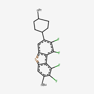 CCCCc1cc2sc3cc(C4CCC(CCC)CC4)c(F)c(F)c3c2c(F)c1F